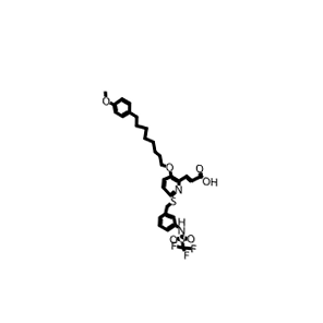 COc1ccc(CCCCCCCCOc2ccc(SCc3cccc(NS(=O)(=O)C(F)(F)F)c3)nc2C=CC(=O)O)cc1